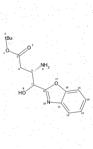 CC(C)(C)OC(=O)C[C@H](N)C(O)c1nc2ccccc2o1